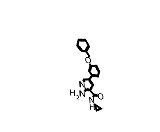 Nc1ncc(-c2cccc(OCc3ccccc3)c2)cc1C(=O)NC1CC1